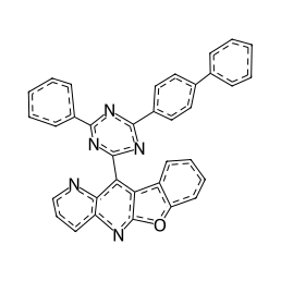 c1ccc(-c2ccc(-c3nc(-c4ccccc4)nc(-c4c5ncccc5nc5oc6ccccc6c45)n3)cc2)cc1